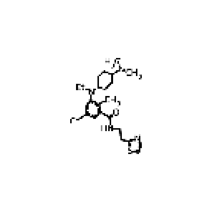 CCN(c1cc(Cl)cc(C(=O)NCCc2nccs2)c1C)[C@H]1CC[C@H](N(C)C)CC1